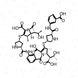 C[C@@H](O)[C@@H](C(=O)O)[C@H]1[C@@H](C)C(S[C@@H]2CN[C@H](C(=O)Nc3cccc(C(=O)O)c3)C2)=C(C(=O)O)N1C(=O)c1cccc(NC(=O)[C@@H]2C[C@H](SC3=C(C(=O)O)N4C(=O)[C@H]([C@@H](C)O)[C@H]4[C@H]3C)CN2)c1